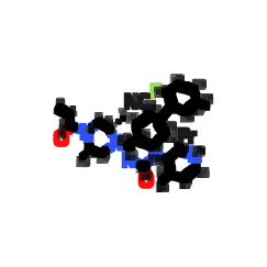 C=CC(=O)N1C[C@H](C)N(c2nc(=O)n(-c3c(C)ccnc3C(C)C)c3cc(-c4cc(C)ccc4F)c(C#N)cc23)C[C@H]1C